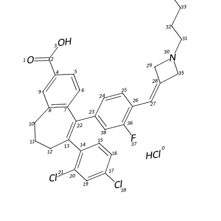 Cl.O=C(O)c1ccc2c(c1)CCCC(c1ccc(Cl)cc1Cl)=C2c1ccc(C=C2CN(CCCF)C2)c(F)c1